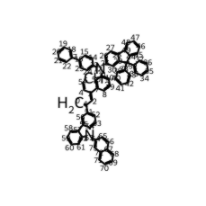 C=C(/C=C(\C=C/C)c1cccc(N(c2ccc(-c3ccccc3)cc2)c2ccc3c(c2)C(c2ccccc2)(c2ccccc2)c2ccccc2-3)c1)c1ccc2c(c1)c1ccccc1n2-c1ccc2ccccc2c1